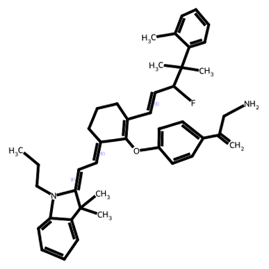 C=C(CN)c1ccc(OC2=C(/C=C/C(F)C(C)(C)c3ccccc3C)CCC/C2=C\C=C2\N(CCC)c3ccccc3C2(C)C)cc1